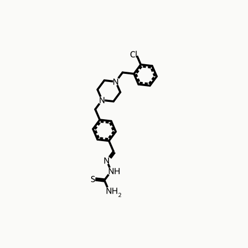 NC(=S)NN=Cc1ccc(CN2CCN(Cc3ccccc3Cl)CC2)cc1